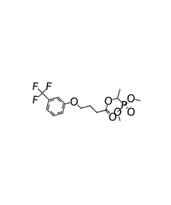 COP(=O)(OC)C(C)OC(=O)CCCOc1cccc(C(F)(F)F)c1